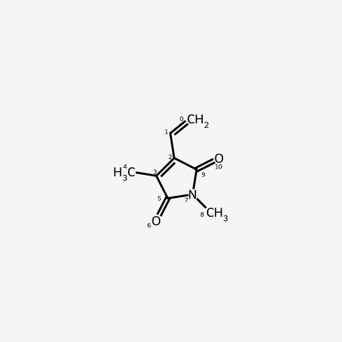 C=CC1=C(C)C(=O)N(C)C1=O